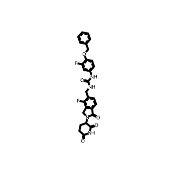 O=C1CCC(N2Cc3c(ccc(CNC(=O)Nc4ccc(OCc5ccccc5)c(F)c4)c3F)C2=O)C(=O)N1